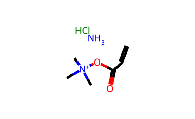 C=CC(=O)O[N+](C)(C)C.Cl.N